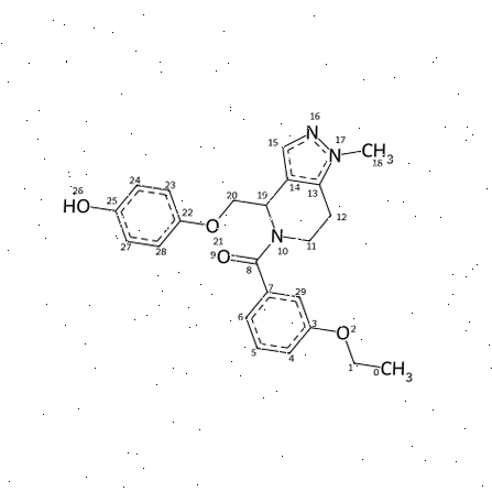 CCOc1cccc(C(=O)N2CCc3c(cnn3C)C2COc2ccc(O)cc2)c1